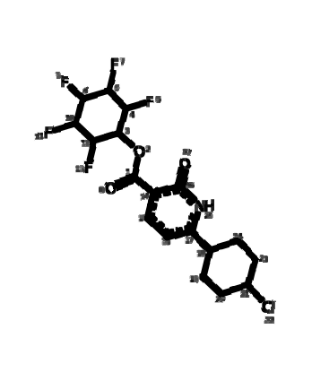 O=C(OC1C(F)C(F)C(F)C(F)C1F)c1ccc(C2CCC(Cl)CC2)[nH]c1=O